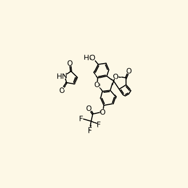 O=C1C=CC(=O)N1.O=C1OC2(c3ccc(O)cc3Oc3cc(OC(=O)C(F)(F)F)ccc32)c2ccccc21